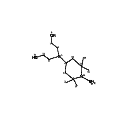 CC1(C)CC(N(CCO)CCO)CC(C)(C)N1N